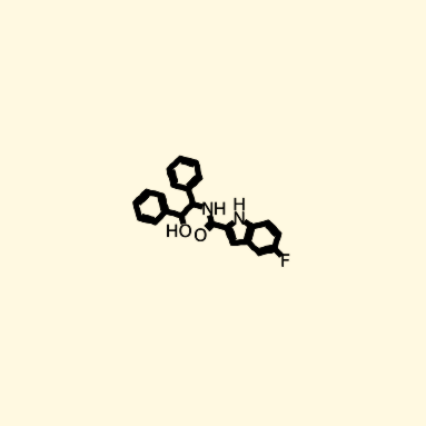 O=C(NC(c1ccccc1)C(O)c1ccccc1)c1cc2cc(F)ccc2[nH]1